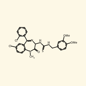 COc1ccc(CNC(=S)NC2N=C(c3ccccc3Cl)c3cc(Cl)ccc3N(C)C2=O)cc1OC